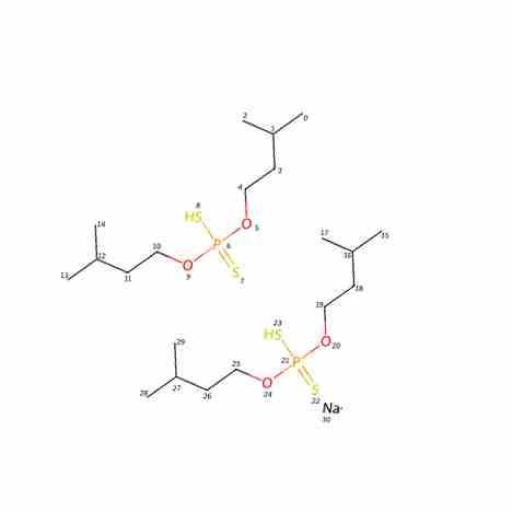 CC(C)CCOP(=S)(S)OCCC(C)C.CC(C)CCOP(=S)(S)OCCC(C)C.[Na]